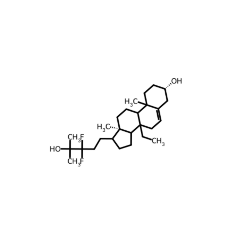 CCC12CC=C3C[C@@H](O)CCC3(C)C1CC[C@]1(C)C(CCC(F)(F)C(C)(C)O)CCC21